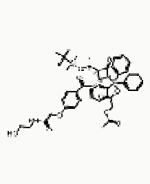 CC(=O)OCC(=O)OP(c1ccccc1)(c1ccccc1)(c1ccccc1)N1C(=O)[C@H]([C@@H](C)O[Si](C)(C)C(C)(C)C)[C@H]1CC(=O)c1ccc(OCC(=O)NCCO)cc1